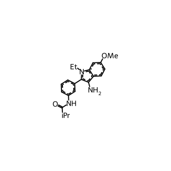 CCn1c(-c2cccc(NC(=O)C(C)C)c2)c(N)c2ccc(OC)cc21